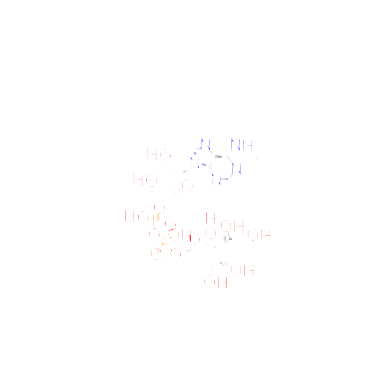 Nc1ncnc2c1ncn2[C@@H]1O[C@H](COP(=O)(O)OP(=O)(O)O[C@@H]2OC3(O)C2C(O)[C@H](O)C3[C@@H](O)CO)C(O)C1O